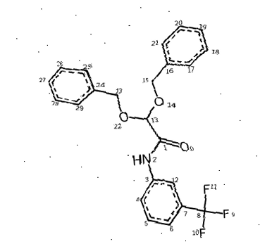 O=C(Nc1cccc(C(F)(F)F)c1)C(OCc1ccccc1)OCc1ccccc1